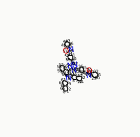 c1ccc2cc(-n3c4cc5ccccc5cc4c4c(-c5nc(-c6ccc(-c7nc8ccccc8o7)cc6)nc(-c6ccc(-c7nc8ccccc8o7)cc6)n5)c5ccccc5cc43)ccc2c1